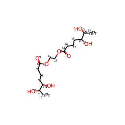 CCCC(O)C(O)CCCC(=O)OCCOC(=O)CCCC(O)C(O)CCC